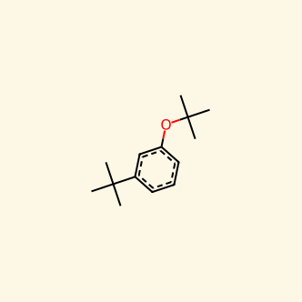 CC(C)(C)Oc1cccc(C(C)(C)C)c1